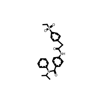 CCS(=O)(=O)c1ccc(CC(=O)Nc2ccc(C(=O)N(c3ccccc3)C(C)C)cc2)cc1